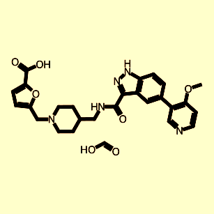 COc1ccncc1-c1ccc2[nH]nc(C(=O)NCC3CCN(Cc4ccc(C(=O)O)o4)CC3)c2c1.O=CO